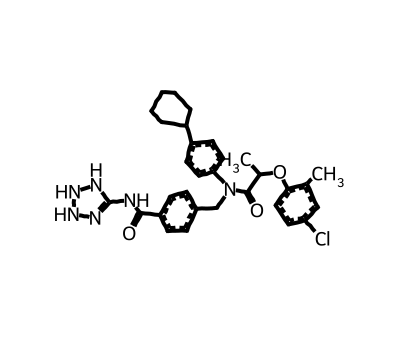 Cc1cc(Cl)ccc1OC(C)C(=O)N(Cc1ccc(C(=O)NC2=NNNN2)cc1)c1ccc(C2CCCCC2)cc1